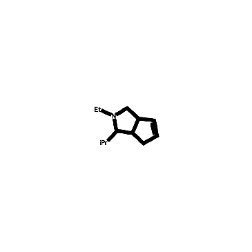 CCN1CC2C=CCC2C1C(C)C